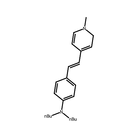 CCCCN(CCCC)c1ccc(C=CC2=CCN(C)C=C2)cc1